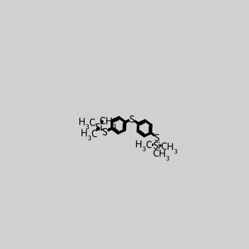 C[Si](C)(C)Sc1ccc(Sc2ccc(S[Si](C)(C)C)cc2)cc1